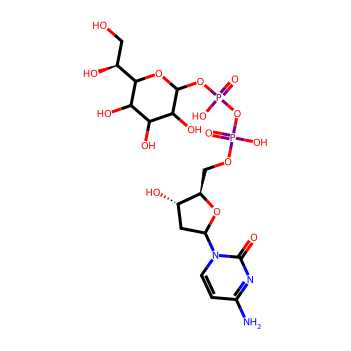 Nc1ccn(C2C[C@H](O)[C@@H](COP(=O)(O)OP(=O)(O)OC3OC([C@@H](O)CO)C(O)C(O)C3O)O2)c(=O)n1